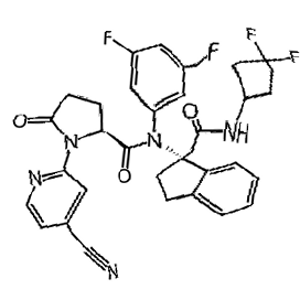 N#Cc1ccnc(N2C(=O)CC[C@H]2C(=O)N(c2cc(F)cc(F)c2)[C@@]2(C(=O)NC3CC(F)(F)C3)CCc3ccccc32)c1